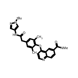 CNC(=O)c1ccc2nccc(Oc3c(C)cc(CC(=O)Nc4cnn(C(C)(C)C)c4)cc3C)c2c1